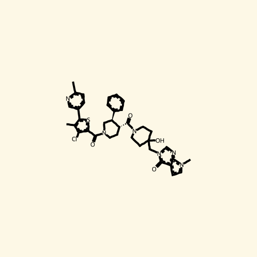 Cc1ccc(-c2sc(C(=O)N3CC[C@@H](C(=O)N4CCC(O)(Cn5cnc6c(ccn6C)c5=O)CC4)[C@H](c4ccccc4)C3)c(Cl)c2C)cn1